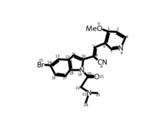 COc1ccncc1C=C(C#N)c1cc2cc(Br)ccc2n1C(=O)CN(C)C